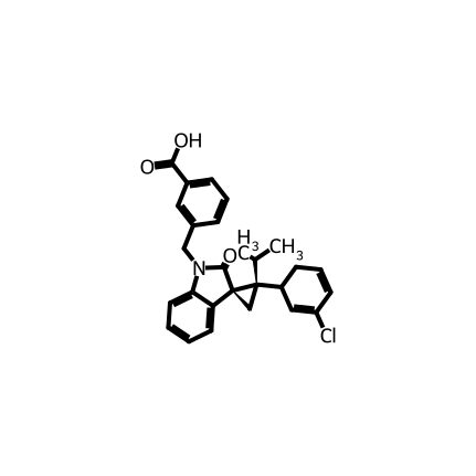 CC(C)[C@@]1(C2C=C(Cl)C=CC2)C[C@@]12C(=O)N(Cc1cccc(C(=O)O)c1)c1ccccc12